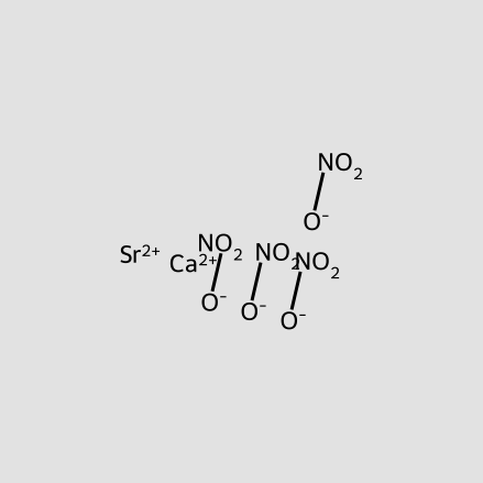 O=[N+]([O-])[O-].O=[N+]([O-])[O-].O=[N+]([O-])[O-].O=[N+]([O-])[O-].[Ca+2].[Sr+2]